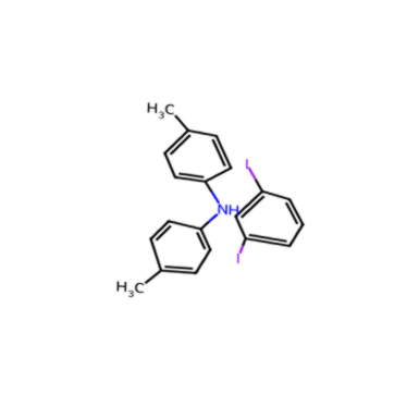 Cc1ccc(Nc2ccc(C)cc2)cc1.Ic1cccc(I)c1